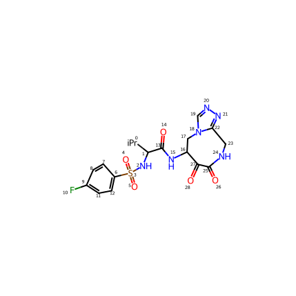 CC(C)C(NS(=O)(=O)c1ccc(F)cc1)C(=O)NC1Cn2cnnc2CNC(=O)C1=O